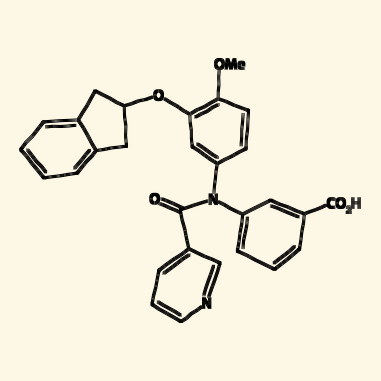 COc1ccc(N(C(=O)c2cccnc2)c2cccc(C(=O)O)c2)cc1OC1Cc2ccccc2C1